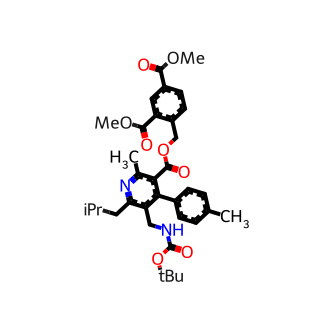 COC(=O)c1ccc(COC(=O)c2c(C)nc(CC(C)C)c(CNC(=O)OC(C)(C)C)c2-c2ccc(C)cc2)c(C(=O)OC)c1